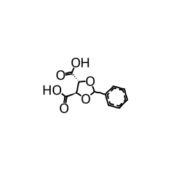 O=C(O)[C@@H]1OC(c2ccccc2)O[C@H]1C(=O)O